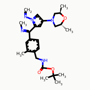 C=Nn1cc(N2C[C@@H](C)O[C@H](C)C2)cc1/C(=N\C)c1ccc(CNC(=O)OC(C)(C)C)c(C)c1